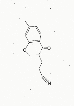 Cc1ccc2c(c1)OCC(CCC#N)C2=O